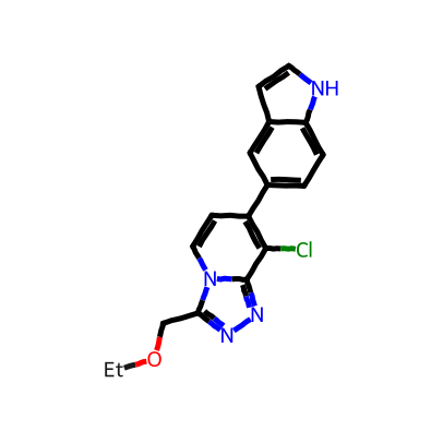 CCOCc1nnc2c(Cl)c(-c3ccc4[nH]ccc4c3)ccn12